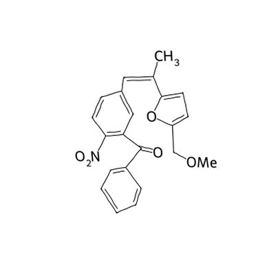 COCc1ccc(C(C)=Cc2ccc([N+](=O)[O-])c(C(=O)c3ccccc3)c2)o1